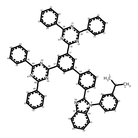 CC(C)c1cccc(-n2c(-c3cccc(-c4cc(-c5nc(-c6ccccc6)nc(-c6ccccc6)n5)cc(-c5nc(-c6ccccc6)nc(-c6ccccc6)n5)c4)c3)nc3ccccc32)c1